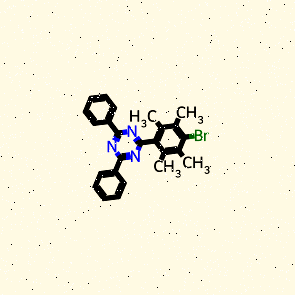 Cc1c(C)c(-c2nc(-c3ccccc3)nc(-c3ccccc3)n2)c(C)c(C)c1Br